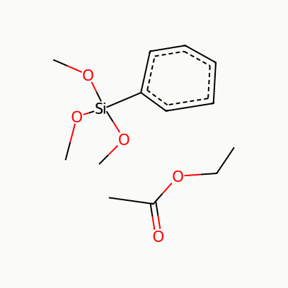 CCOC(C)=O.CO[Si](OC)(OC)c1ccccc1